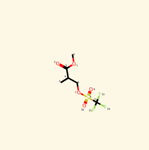 COC(=O)C(C)COS(=O)(=O)C(F)(F)F